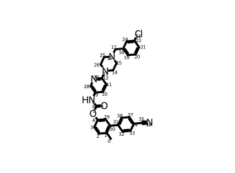 Cc1ccc(OC(=O)Nc2ccc(N3CCN(Cc4cccc(Cl)c4)CC3)nc2)cc1-c1ccc(C#N)cc1